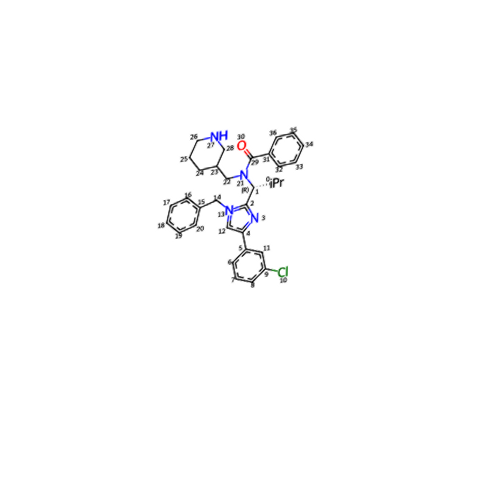 CC(C)[C@H](c1nc(-c2cccc(Cl)c2)cn1Cc1ccccc1)N(CC1CCCNC1)C(=O)c1ccccc1